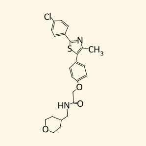 Cc1nc(-c2ccc(Cl)cc2)sc1-c1ccc(OCC(=O)NCC2CCOCC2)cc1